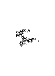 C=Cc1cccc([C@H](CCCCc2cc(C(=O)O)cc(Cl)c2O)NC(=O)C2CCCOC2)c1